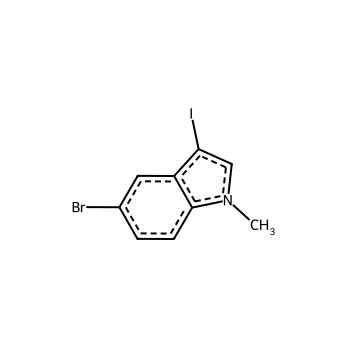 Cn1cc(I)c2cc(Br)ccc21